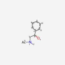 CC(=O)N(C)CC(=O)c1ccccc1